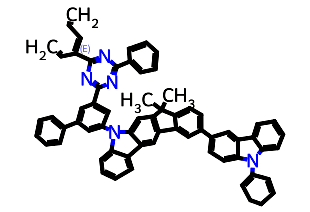 C=C/C=C(\C=C)c1nc(-c2ccccc2)nc(-c2cc(-c3ccccc3)cc(-n3c4ccccc4c4cc5c(cc43)C(C)(C)c3ccc(-c4ccc6c(c4)c4ccccc4n6C4=CCCC=C4)cc3-5)c2)n1